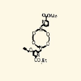 C#CCOc1cc(CN2CCOCCOCCN(Cc3cccc(C(=O)OC)n3)CCOCCOCC2)nc(C(=O)OCC)c1